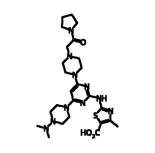 Cc1nc(Nc2nc(N3CCN(CC(=O)N4CCCC4)CC3)cc(N3CCN(N(C)C)CC3)n2)sc1C(=O)O